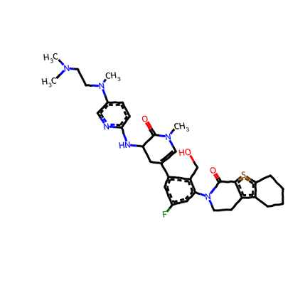 CN(C)CCN(C)c1ccc(NC2CC(c3cc(F)cc(N4CCc5c(sc6c5CCCC6)C4=O)c3CO)=CN(C)C2=O)nc1